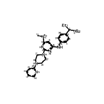 CCCCC(CC)c1ccc(Nc2cc(N(C)C)nc(N3CCN(c4ccccn4)CC3)n2)cc1